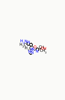 Cc1cc2cc(C(=O)N(Cc3ccc(C(C)(C)O)cn3)N(C)c3ncccn3)ccc2nc1N